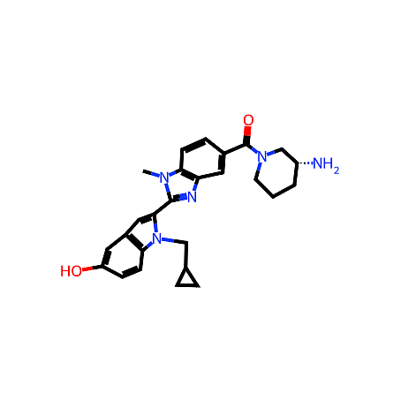 Cn1c(-c2cc3cc(O)ccc3n2CC2CC2)nc2cc(C(=O)N3CCC[C@@H](N)C3)ccc21